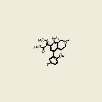 COc1ccc(F)cc1-c1cc(/C(=N/O)C(=O)O)c(N)c2c1CCN(C)C2